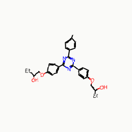 CCC(O)COc1ccc(-c2nc(-c3ccc(C)cc3)nc(-c3ccc(OCC(O)CC)cc3)n2)cc1